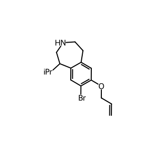 C=CCOc1cc2c(cc1Br)C(C(C)C)CNCC2